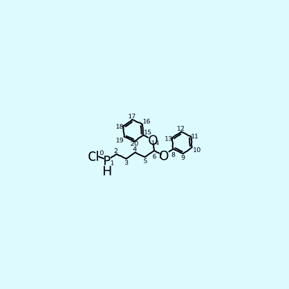 ClPCCCCC(Oc1ccccc1)Oc1ccccc1